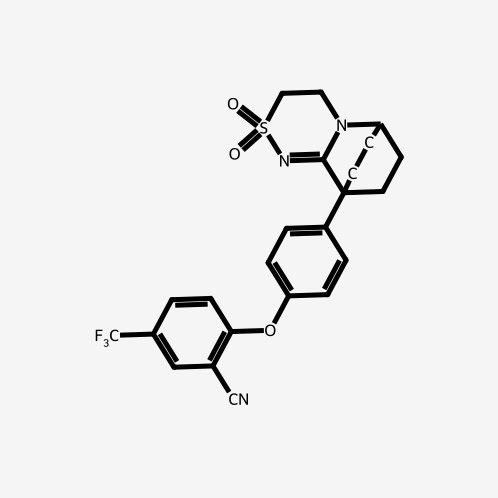 N#Cc1cc(C(F)(F)F)ccc1Oc1ccc(C23CCC(CC2)N2CCS(=O)(=O)N=C23)cc1